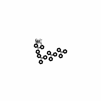 [BH4-].[BH4-].[Cu+2].c1ccc(P(c2ccccc2)c2ccccc2)cc1.c1ccc(P(c2ccccc2)c2ccccc2)cc1.c1ccc(P(c2ccccc2)c2ccccc2)cc1.c1ccc(P(c2ccccc2)c2ccccc2)cc1